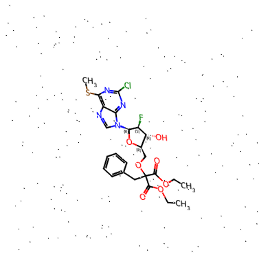 CCOC(=O)C(Cc1ccccc1)(OC[C@H]1O[C@@H](n2cnc3c(SC)nc(Cl)nc32)[C@@H](F)[C@@H]1O)C(=O)OCC